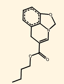 CCCCOC(=O)C1=CN2COc3cccc(c32)C1